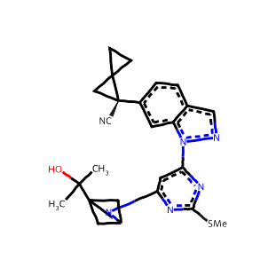 CSc1nc(N2CC3(C(C)(C)O)CC2C3)cc(-n2ncc3ccc([C@]4(C#N)CC45CC5)cc32)n1